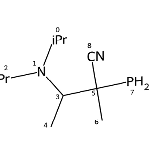 CC(C)N(C(C)C)C(C)C(C)(P)C#N